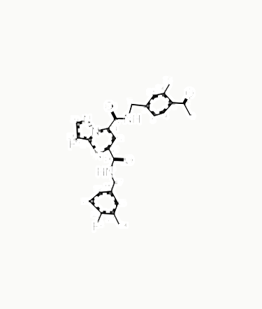 CC(=O)c1ccc(CNC(=O)c2cc(C(=O)NCc3ccc(F)c(C)c3)nc3c(F)cnn23)cc1C